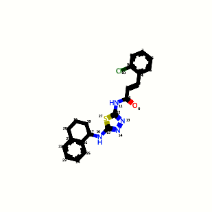 O=C(C=Cc1ccccc1Cl)Nc1nnc(NC2CCCc3ccccc32)s1